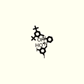 CN(Cc1cc(I)cc(I)c1O)c1ccccc1/N=C/c1cc(C(C)(C)C)cc(C(C)(C)C)c1O